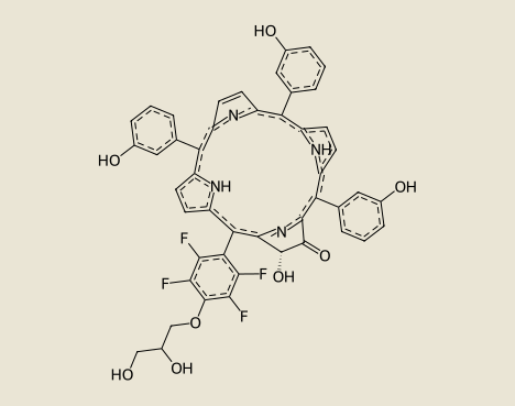 O=C1c2nc(c(-c3c(F)c(F)c(OCC(O)CO)c(F)c3F)c3ccc([nH]3)c(-c3cccc(O)c3)c3nc(c(-c4cccc(O)c4)c4ccc([nH]4)c2-c2cccc(O)c2)C=C3)[C@H]1O